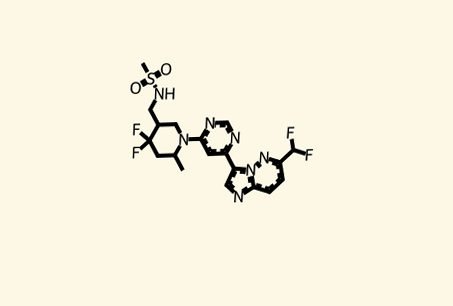 CC1CC(F)(F)C(CNS(C)(=O)=O)CN1c1cc(-c2cnc3ccc(C(F)F)nn23)ncn1